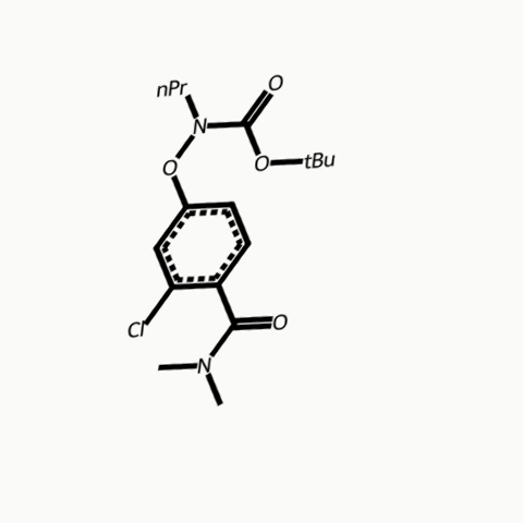 CCCN(Oc1ccc(C(=O)N(C)C)c(Cl)c1)C(=O)OC(C)(C)C